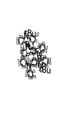 Cc1cc2c3c(c1)N(C(C)(C)C)c1ccccc1B3n1c3ccccc3c3c4c5c(c-2c31)c1ccccc1n5B1c2ccccc2N(C(C)(C)C)c2cc(N(c3ccccc3)c3ccccc3)cc-4c21